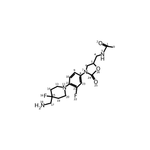 CC(=O)NCC1CN(c2ccc(N3CCC(F)(CN)CC3)c(F)c2)C(=O)O1